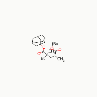 CCC(C)(CC(C)C(=O)OC(C)(C)C)C(=O)OC12CC3CC(CC(C3)C1)C2